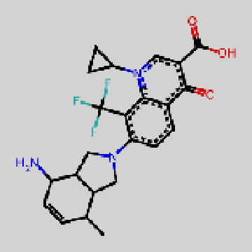 CC1C=CC(N)C2CN(c3ccc4c(=O)c(C(=O)O)cn(C5CC5)c4c3C(F)(F)F)CC12